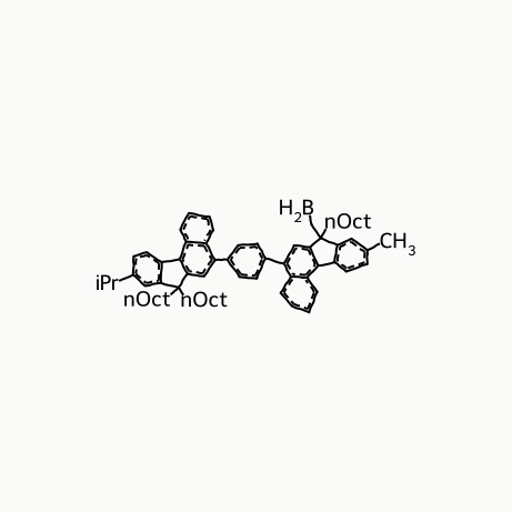 BCC1(CCCCCCCC)c2cc(C)ccc2-c2c1cc(-c1ccc(-c3cc4c(c5ccccc35)-c3ccc(C(C)C)cc3C4(CCCCCCCC)CCCCCCCC)cc1)c1ccccc21